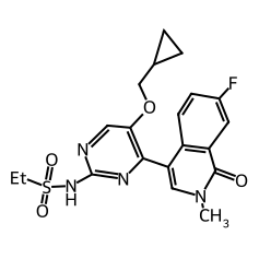 CCS(=O)(=O)Nc1ncc(OCC2CC2)c(-c2cn(C)c(=O)c3cc(F)ccc23)n1